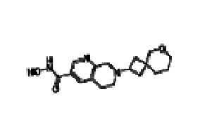 O=C(NO)c1cnc2c(c1)CCN(C1CC3(CCCOC3)C1)C2